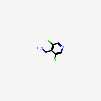 NCc1c(Cl)cncc1Cl